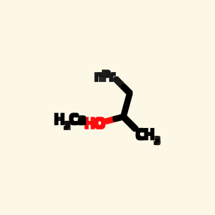 CCCCC(C)O.[CaH2]